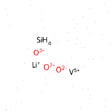 [Li+].[O-2].[O-2].[O-2].[SiH4].[V+5]